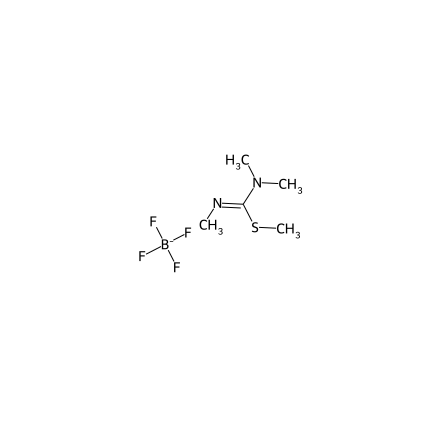 CN=C(SC)N(C)C.F[B-](F)(F)F